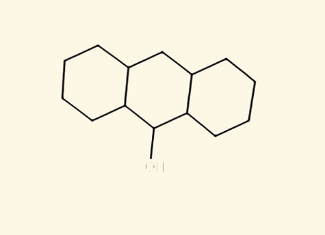 OC1C2CCCCC2CC2CCCCC21